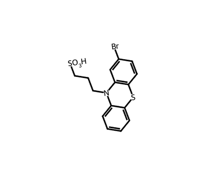 O=S(=O)(O)CCCN1c2ccccc2Sc2ccc(Br)cc21